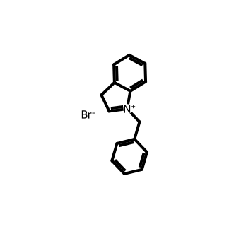 C1=[N+](Cc2ccccc2)c2ccccc2C1.[Br-]